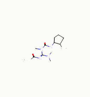 CCCCC1CCCC1NC(=O)N(C)/C(=N\C(=O)OC)N(C)C